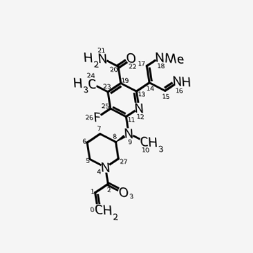 C=CC(=O)N1CCC[C@@H](N(C)c2nc(/C(C=N)=C/NC)c(C(N)=O)c(C)c2F)C1